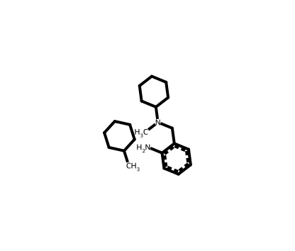 CC1CCCCC1.CN(Cc1ccccc1N)C1CCCCC1